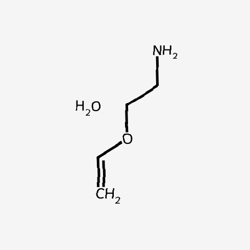 C=COCCN.O